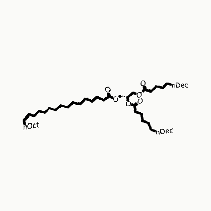 CCCCCCCC/C=C\CCCCCCCCCCCCCC(=O)OC[C@H](COC(=O)CCCCCCCCCCCCCC)OC(=O)CCCCCCCCCCCCCCC